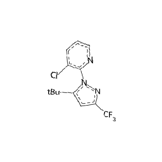 CC(C)(C)c1cc(C(F)(F)F)nn1-c1ncccc1Cl